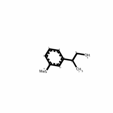 CSc1cccc([C](C)CO)c1